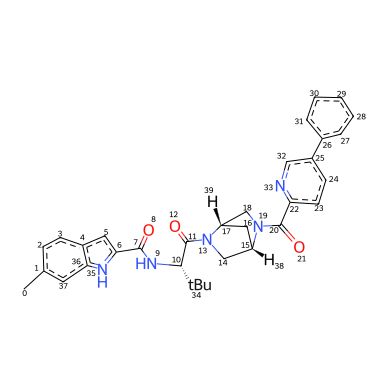 Cc1ccc2cc(C(=O)N[C@H](C(=O)N3C[C@@H]4C[C@H]3CN4C(=O)c3ccc(-c4ccccc4)cn3)C(C)(C)C)[nH]c2c1